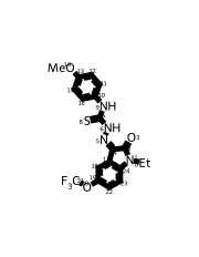 CCN1C(=O)/C(=N\NC(=S)Nc2ccc(OC)cc2)c2cc(OC(F)(F)F)ccc21